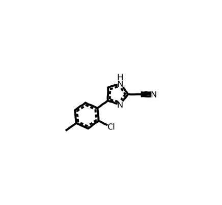 Cc1ccc(-c2c[nH]c(C#N)n2)c(Cl)c1